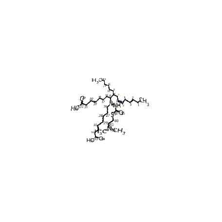 CCCCC/C=C\CC(CCCCCC)C(CCCCCCC(=O)O)N(CCCCCCCC(=O)O)NC(=O)SCCN(C)C